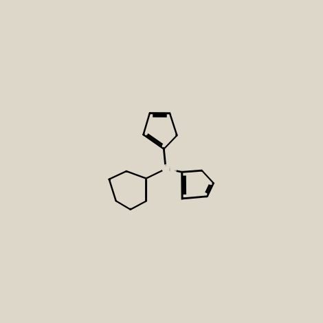 C1=CCC([SiH](C2=CC=CC2)C2CCCCC2)=C1